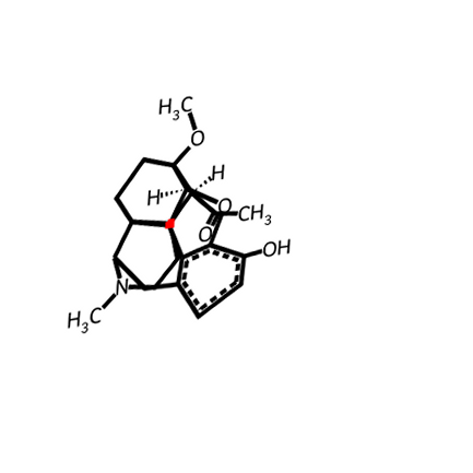 COC12CCC3(C[C@@H]1C(C)=O)C1Cc4ccc(O)c5c4[C@@]3(CCN1C)[C@@H]2O5